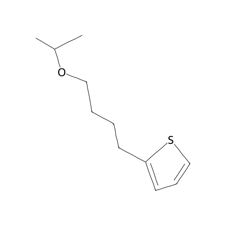 CC(C)OCCCCc1cccs1